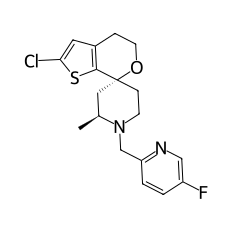 C[C@H]1C[C@@]2(CCN1Cc1ccc(F)cn1)OCCc1cc(Cl)sc12